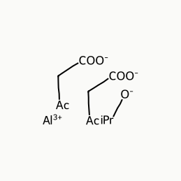 CC(=O)CC(=O)[O-].CC(=O)CC(=O)[O-].CC(C)[O-].[Al+3]